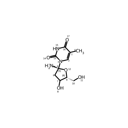 Cc1cn([C@@]2(N)CC(O)[C@@H](CO)O2)c(=O)[nH]c1=O